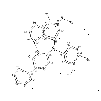 CCc1cc(N(c2ccc(C)c(CC)c2)c2ccc(-c3ccccc3)cc2-c2ccccc2)ccc1C